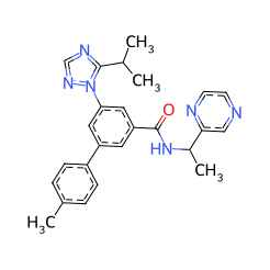 Cc1ccc(-c2cc(C(=O)NC(C)c3cnccn3)cc(-n3ncnc3C(C)C)c2)cc1